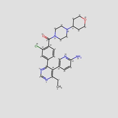 CCc1ncnc(-c2ccc(C(=O)N3CCN(C4CCOCC4)CC3)c(Cl)c2)c1-c1ccc(N)nc1